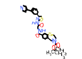 CC(C)(C)OC(=O)N1CCSc2cc(C(=O)NCC(=O)Nc3nc(-c4cccc(-c5ccncc5)c4)cs3)ccc2C1